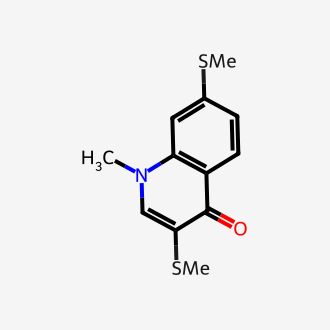 CSc1ccc2c(=O)c(SC)cn(C)c2c1